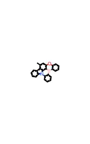 Cc1cc2c3c4c1c1ccccc1n4-c1ccccc1B3c1ccccc1O2